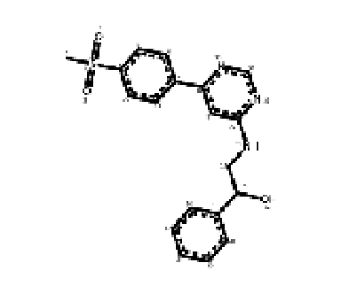 CS(=O)(=O)c1ccc(-c2cc(NCC(O)c3ccccc3)ncn2)cc1